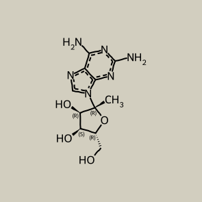 C[C@@]1(n2cnc3c(N)nc(N)nc32)O[C@H](CO)[C@@H](O)[C@H]1O